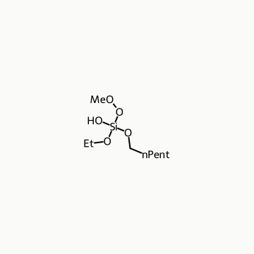 CCCCCCO[Si](O)(OCC)OOC